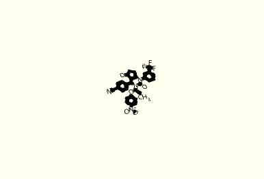 CC=C(Oc1ccc([N+](=O)[O-])cc1)N1C(=O)N(c2cccc(C(F)(F)F)c2)C2=C(C(=O)CC2)C1c1ccc(C#N)cc1